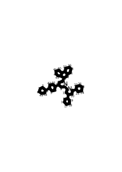 c1ccc(-c2ccc(-c3cc(-c4cc(-c5ccccc5)cc(-c5ccccc5)n4)nc(-c4cc5ccccc5c5ccccc45)c3)cc2)cc1